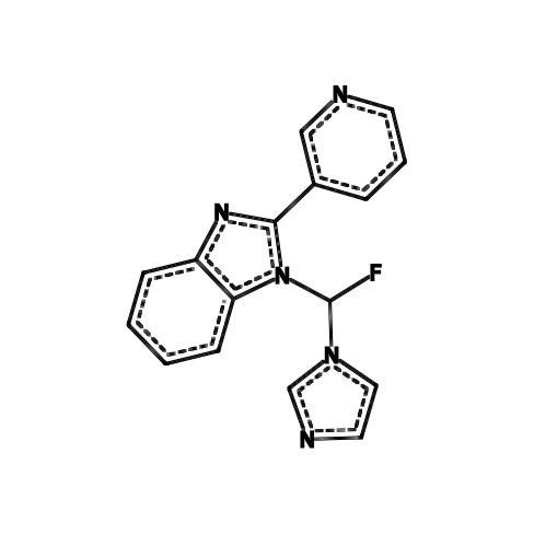 FC(n1ccnc1)n1c(-c2cccnc2)nc2ccccc21